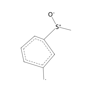 [CH2]c1cccc([S+](C)[O-])c1